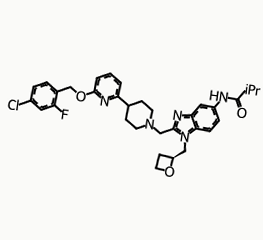 CC(C)C(=O)Nc1ccc2c(c1)nc(CN1CCC(c3cccc(OCc4ccc(Cl)cc4F)n3)CC1)n2C[C@@H]1CCO1